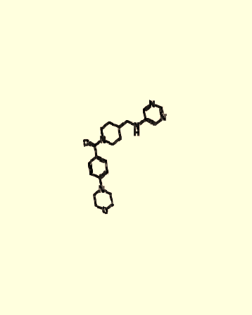 O=C(c1ccc(N2CCOCC2)cc1)N1CCC(CNc2cncnc2)CC1